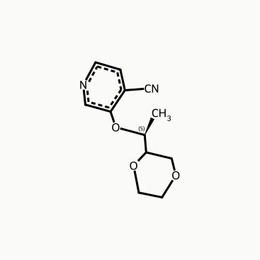 C[C@H](Oc1cnccc1C#N)C1COCCO1